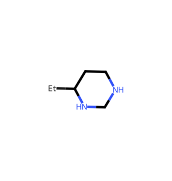 CCC1CCNCN1